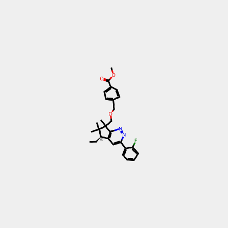 CC[C@@H]1c2cc(-c3ccccc3F)nnc2C(C)(COCc2ccc(C(=O)OC)cc2)C1(C)C